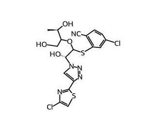 C[C@@H](O)C(CO)OC(Sc1cc(Cl)ccc1C#N)[C@@H](O)n1cc(-c2nc(Cl)cs2)nn1